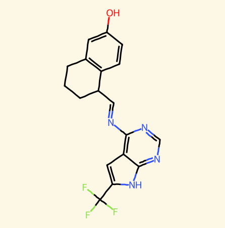 Oc1ccc2c(c1)CCCC2/C=N/c1ncnc2[nH]c(C(F)(F)F)cc12